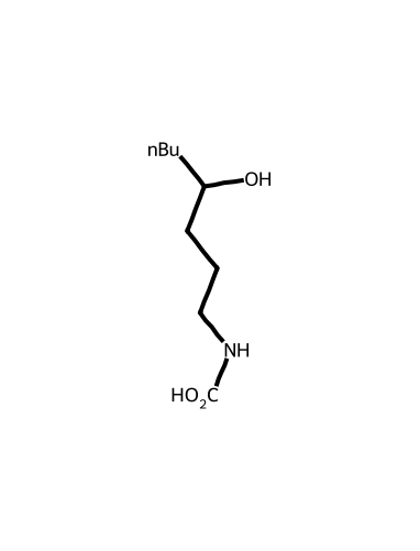 CCCCC(O)CCCNC(=O)O